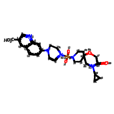 O=C(O)c1cnc2cc(N3CCN(S(=O)(=O)N4CCC5(CC4)CN(C4CC4)C(=O)CO5)CC3)ccc2c1